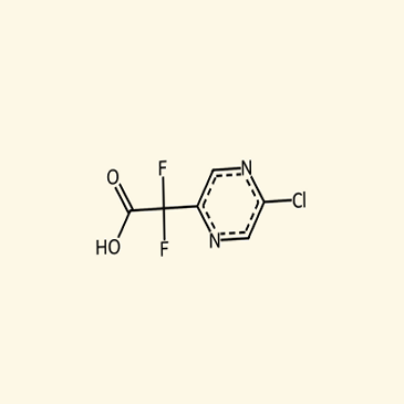 O=C(O)C(F)(F)c1cnc(Cl)cn1